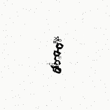 CS(=O)(=O)Nc1cccc(-c2ccc(CC3CCN(C45CC6CC(CC(CO)(C6)C4)C5)C3=O)c(Cl)c2)c1